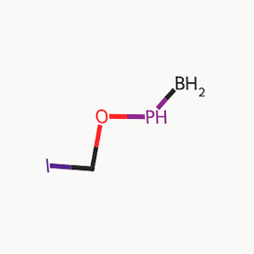 BPOCI